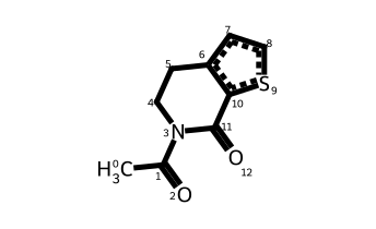 CC(=O)N1CCc2ccsc2C1=O